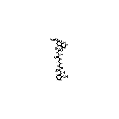 COC(=O)C[C@H](NC(=O)CNC(=O)CCCCNC(=S)Nc1ccccc1N)c1cccnc1